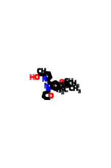 CC(O)c1cccc(-c2nn(C3CCCCO3)c3ccc(O[Si](C)(C)C(C)(C)C)cc23)n1